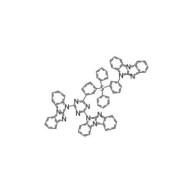 c1ccc(S(c2ccccc2)(c2cccc(-c3nc(-n4c5ccccc5n5c6ccccc6nc45)nc(-n4c5ccccc5n5c6ccccc6nc45)n3)c2)c2cccc(-n3c4ccccc4n4c5ccccc5nc34)c2)cc1